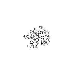 Cc1cc2c3c(c1)N(c1ccc4c(c1)C(C)(C)CCC4(C)C)c1c(oc4cc5c(cc14)C(C)(C)CCC5(C)C)B3c1cc3c(cc1N2c1cccc2c1-c1ccccc1C2(C)C)C(C)(C)CCC3(C)C